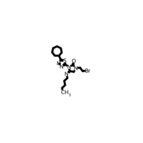 CCCCCN=C1CN(CCBr)C(=O)N1c1nnc(C2CCCCCC2)s1